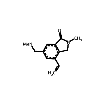 C=Cc1cc(CNC)cc2c1CN(C)C2=O